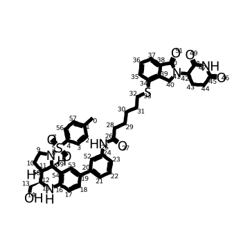 Cc1ccc(S(=O)(=O)N2CC[C@@H]3[C@H](CO)Nc4ccc(-c5cccc(NC(=O)CCCCCSc6cccc7c6CN(C6CCC(=O)NC6=O)C7=O)c5)cc4[C@@H]32)cc1